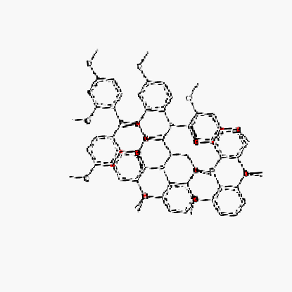 COc1ccc(P(CCC(C(CCP(c2c(OC)cccc2OC)c2c(OC)cccc2OC)P(c2c(OC)cccc2OC)c2c(OC)cccc2OC)P(c2ccc(OC)cc2OC)c2ccc(OC)cc2OC)c2ccc(OC)cc2OC)c(OC)c1